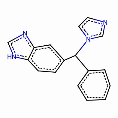 c1ccc(C(c2ccc3[nH]cnc3c2)n2ccnc2)cc1